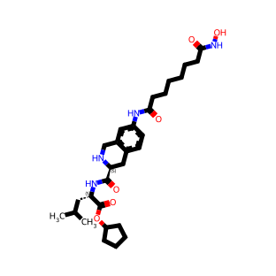 CC(C)C[C@H](NC(=O)[C@@H]1Cc2ccc(NC(=O)CCCCCCC(=O)NO)cc2CN1)C(=O)OC1CCCC1